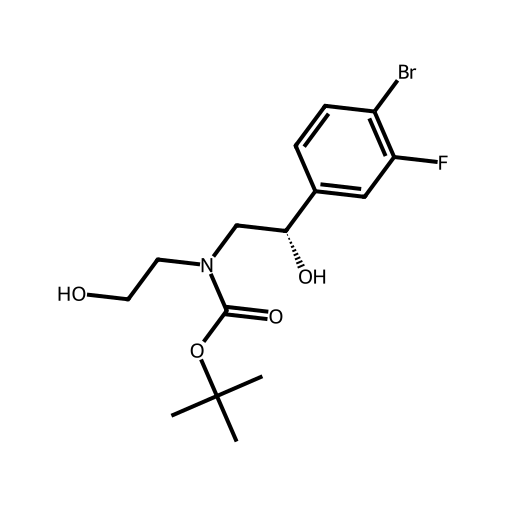 CC(C)(C)OC(=O)N(CCO)C[C@@H](O)c1ccc(Br)c(F)c1